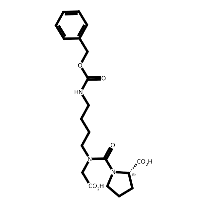 O=C(O)CN(CCCCNC(=O)OCc1ccccc1)C(=O)N1CCC[C@H]1C(=O)O